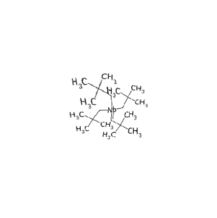 CC(C)(C)[CH]=[Nb]([CH2]C(C)(C)C)([CH2]C(C)(C)C)[CH2]C(C)(C)C